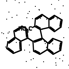 O=C(O)c1ccc2ccccc2c1-c1c(-c2cccc3ccccc23)ccc2ccccc12